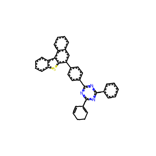 C1=CC(c2nc(-c3ccccc3)nc(-c3ccc(-c4cc5ccccc5c5c4sc4ccccc45)cc3)n2)=CCC1